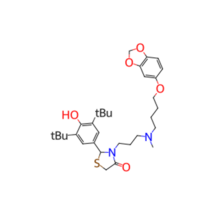 CN(CCCCOc1ccc2c(c1)OCO2)CCCN1C(=O)CSC1c1cc(C(C)(C)C)c(O)c(C(C)(C)C)c1